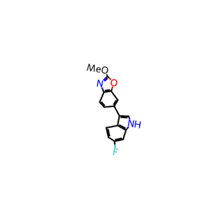 COc1nc2ccc(-c3c[nH]c4cc(F)ccc34)cc2o1